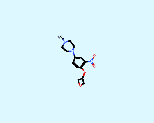 CN1CCN(c2ccc(OC3COC3)c([N+](=O)[O-])c2)CC1